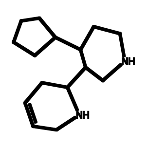 C1=CCC(C2CNCCC2C2CCCC2)NC1